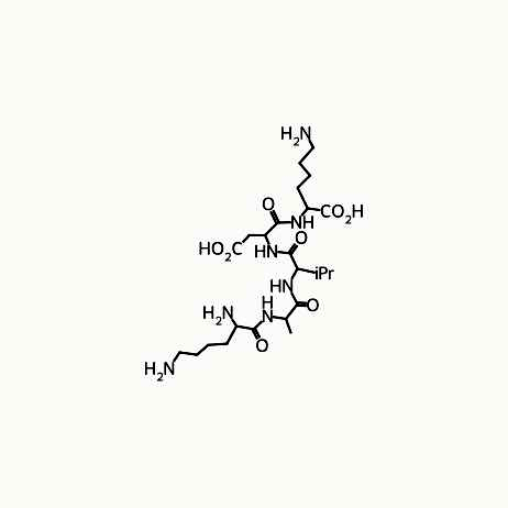 CC(NC(=O)C(N)CCCCN)C(=O)NC(C(=O)NC(CC(=O)O)C(=O)NC(CCCCN)C(=O)O)C(C)C